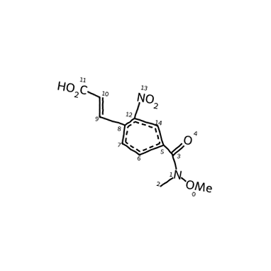 CON(C)C(=O)c1ccc(C=CC(=O)O)c([N+](=O)[O-])c1